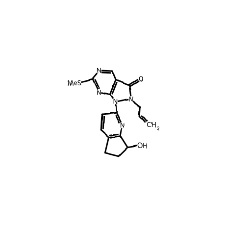 C=CCn1c(=O)c2cnc(SC)nc2n1-c1ccc2c(n1)C(O)CC2